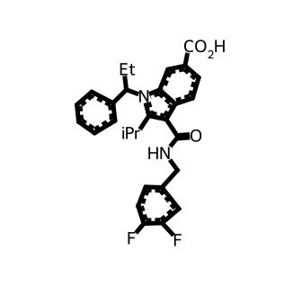 CCC(c1ccccc1)n1c(C(C)C)c(C(=O)NCc2ccc(F)c(F)c2)c2ccc(C(=O)O)cc21